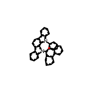 c1ccc(-n2c3ccccc3c3ccc4c5ccccc5n(-c5cc6ccccc6c6ccccc56)c4c32)cc1